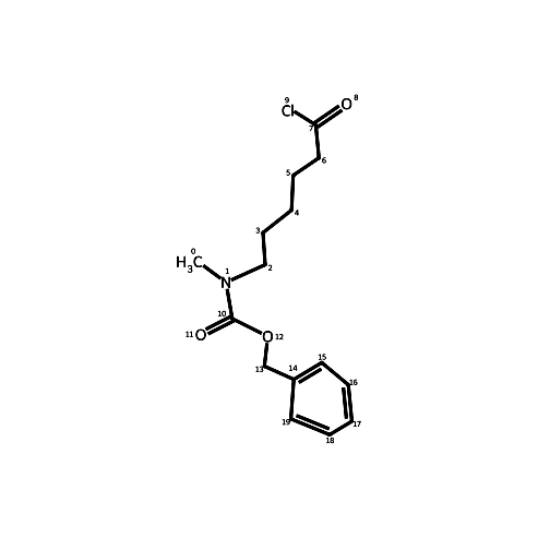 CN(CCCCCC(=O)Cl)C(=O)OCc1ccccc1